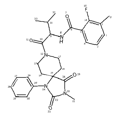 Cc1cccc(C(=O)NC(C(=O)N2CCC3(CC2)C(=O)N(C)C(=O)N3c2ccccc2)C(C)C)c1F